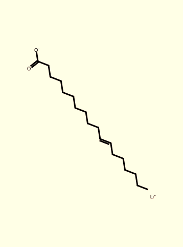 CCCCCCC=CCCCCCCCCCC(=O)[O-].[Li+]